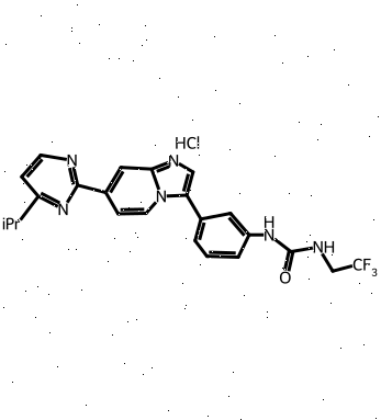 CC(C)c1ccnc(-c2ccn3c(-c4cccc(NC(=O)NCC(F)(F)F)c4)cnc3c2)n1.Cl